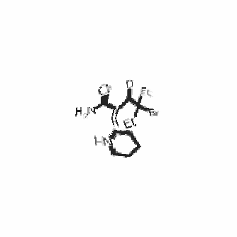 C1CCNCC1.CCC(Br)(CC)C(=O)NC(N)=O